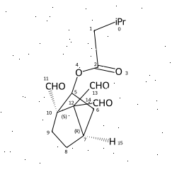 CC(C)CC(=O)OC1C[C@H]2CC[C@]1(C=O)C2(C=O)C=O